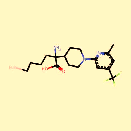 BCCCCC(N)(C(=O)O)C1CCN(c2cc(C(F)(F)F)cc(C)n2)CC1